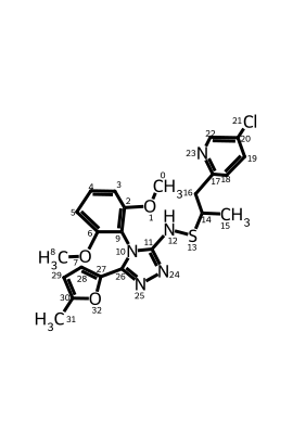 COc1cccc(OC)c1-n1c(NSC(C)Cc2ccc(Cl)cn2)nnc1-c1ccc(C)o1